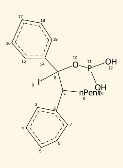 CCCCCC(c1ccccc1)C(I)(OP(O)O)c1ccccc1